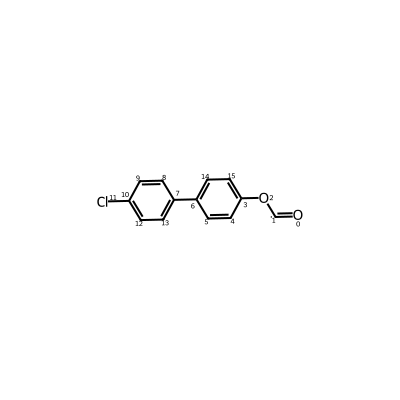 O=[C]Oc1ccc(-c2ccc(Cl)cc2)cc1